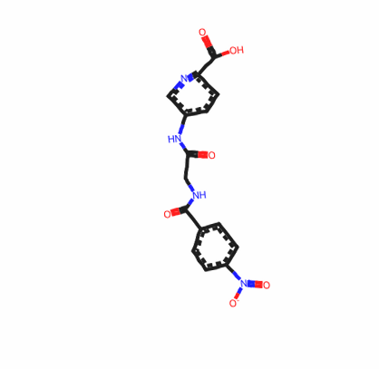 O=C(CNC(=O)c1ccc([N+](=O)[O-])cc1)Nc1ccc(C(=O)O)nc1